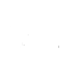 C=CCN(N)[C]=S